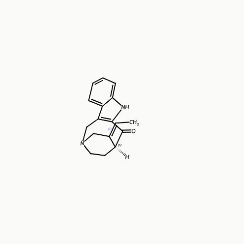 C/C=C1/CN2CC[C@@H]1C(=O)c1[nH]c3ccccc3c1C2